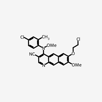 COc1cc2cc3ncc(C#N)c(N(OC)c4ccc(Cl)cc4C)c3cc2cc1OCCCl